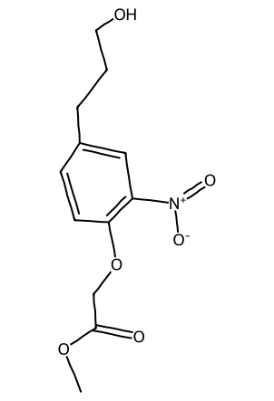 COC(=O)COc1ccc(CCCO)cc1[N+](=O)[O-]